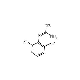 CC(C)c1cccc(C(C)C)c1N=C(N)C(C)(C)C